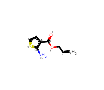 C=CCOC(=O)c1ccsc1N